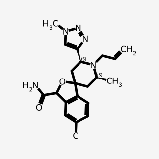 C=CCN1[C@@H](C)CC2(C[C@H]1c1cn(C)nn1)OC(C(N)=O)c1cc(Cl)ccc12